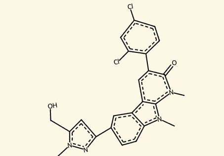 Cn1nc(-c2ccc3c(c2)c2cc(-c4ccc(Cl)cc4Cl)c(=O)n(C)c2n3C)cc1CO